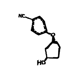 N#Cc1ccc(OC2CCC(O)C2)cc1